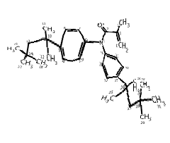 C=C(C)C(=O)N(c1ccc(C(C)(C)CC(C)(C)C)cc1)c1ccc(C(C)(C)CC(C)(C)C)cc1